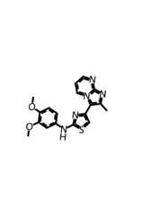 COc1ccc(Nc2nc(-c3c(C)nc4ncccn34)cs2)cc1OC